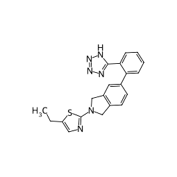 CCc1cnc(N2Cc3ccc(-c4ccccc4-c4nnn[nH]4)cc3C2)s1